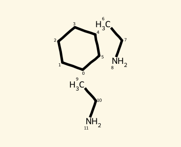 C1CCCCC1.CCN.CCN